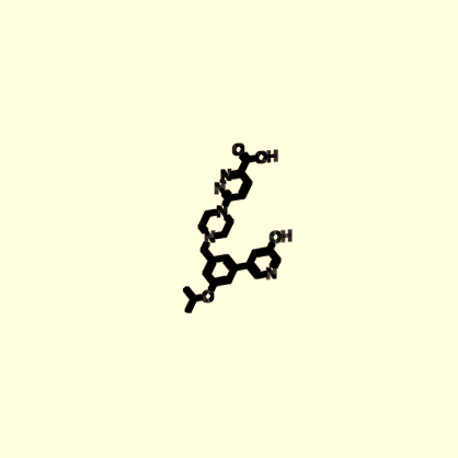 CC(C)Oc1cc(CN2CCN(c3ccc(C(=O)O)nn3)CC2)cc(-c2cncc(O)c2)c1